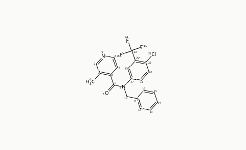 Cc1cnccc1C(=O)N(Cc1ccccc1)c1ccc(Cl)c(C(F)(F)F)c1